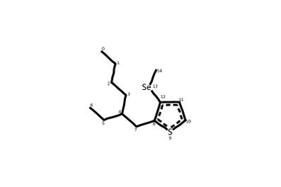 CCCCC(CC)Cc1sccc1[Se]C